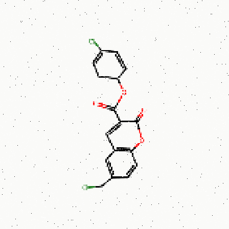 O=C(OC1C=CC(Cl)=CC1)c1cc2cc(CCl)ccc2oc1=O